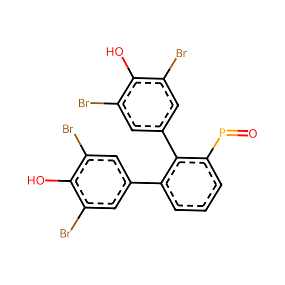 O=Pc1cccc(-c2cc(Br)c(O)c(Br)c2)c1-c1cc(Br)c(O)c(Br)c1